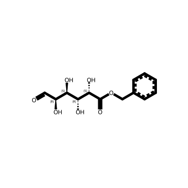 O=C[C@H](O)[C@@H](O)[C@@H](O)[C@H](O)C(=O)OCc1ccccc1